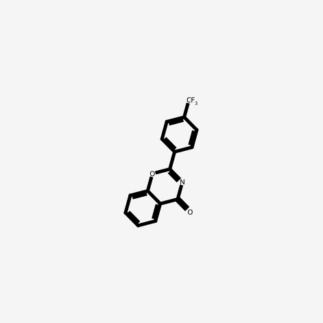 O=c1nc(-c2ccc(C(F)(F)F)cc2)oc2ccccc12